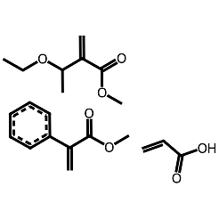 C=C(C(=O)OC)C(C)OCC.C=C(C(=O)OC)c1ccccc1.C=CC(=O)O